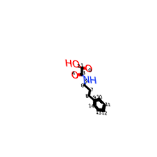 O=C(O)C(=O)NCCCc1ccccc1